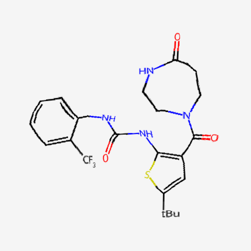 CC(C)(C)c1cc(C(=O)N2CCNC(=O)CC2)c(NC(=O)Nc2ccccc2C(F)(F)F)s1